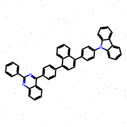 c1ccc(-c2nc(-c3ccc(-c4ccc(-c5ccc(-n6c7ccccc7c7ccccc76)cc5)c5ccccc45)cc3)c3ccccc3n2)cc1